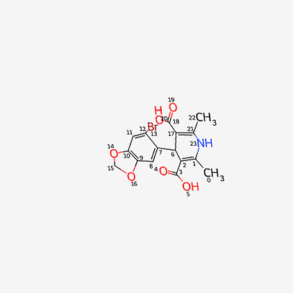 CC1=C(C(=O)O)C(c2cc3c(cc2Br)OCO3)C(C(=O)O)=C(C)N1